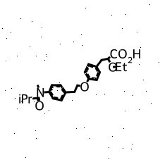 CCOC(Cc1ccc(OCCc2ccc(N(C)C(=O)C(C)C)cc2)cc1)C(=O)O